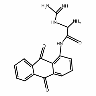 N=C(N)NC(N)C(=O)Nc1cccc2c1C(=O)c1ccccc1C2=O